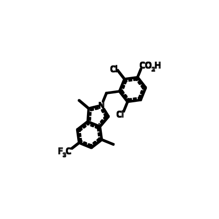 Cc1cc(C(F)(F)F)cc2c(C)n(Cc3c(Cl)ccc(C(=O)O)c3Cl)cc12